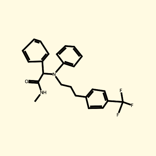 CNC(=O)C(c1ccccc1)N(CCCc1ccc(C(F)(F)F)cc1)c1ccccc1